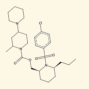 CCC[C@H]1CCC[C@@H](COC(=O)N2CCC(N3CCCCC3)CC2C)N1S(=O)(=O)c1ccc(Cl)cc1